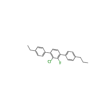 CCCc1ccc(-c2ccc(-c3ccc(CC)cc3)c(Cl)c2F)cc1